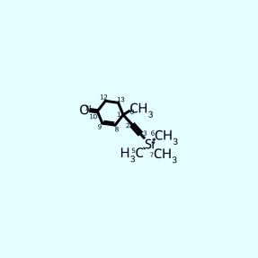 CC1(C#C[Si](C)(C)C)C=CC(=O)CC1